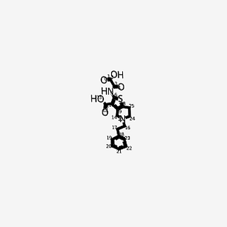 O=C(O)C(=O)Nc1sc2c(c1C(=O)O)CN(CCc1ccccc1)CC2